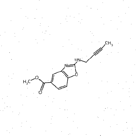 CC#CCNc1nc2cc(C(=O)OC)ccc2o1